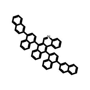 c1ccc2cc(-c3ccc(-c4c5ccccc5c(-c5ccc(-c6ccc7ccccc7c6)c6ccccc56)c5c4cnc4ccccc45)c4ccccc34)ccc2c1